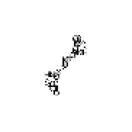 CN(COC(C)(C)CCOCC(=O)NCCC(C)(C)CC(C)(C)CC(=O)ON1C(=O)CCC1=O)OCCOCC(=O)NCCC(C)(C)CC(C)(C)CC(=O)ON1C(=O)CCC1=O